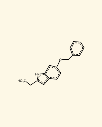 O=C(O)Cc1cc2ccc(OCc3ccccc3)cc2[nH]1